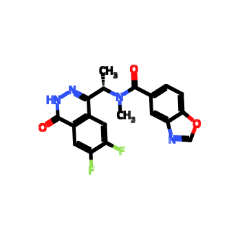 C[C@@H](c1n[nH]c(=O)c2cc(F)c(F)cc12)N(C)C(=O)c1ccc2ocnc2c1